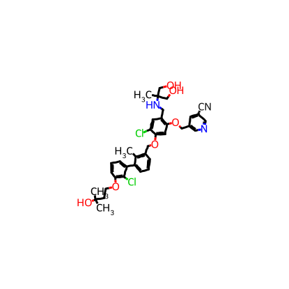 Cc1c(COc2cc(OCc3cncc(C#N)c3)c(CNC(C)(CO)CO)cc2Cl)cccc1-c1cccc(OCCC(C)(C)O)c1Cl